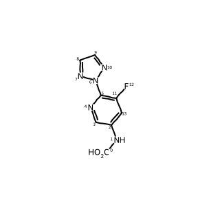 O=C(O)Nc1cnc(-n2nccn2)c(F)c1